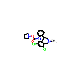 CN1Cc2c(Cl)cc(Cl)cc2C(c2ccccc2NC(=O)ON2CCCC2)C1